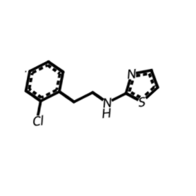 Clc1c[c]ccc1CCNc1nccs1